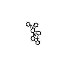 CC1(C)c2ccccc2-c2cccc(-n3c4ccccc4c4c5c6ccccc6n(-c6ccccc6)c5ccc43)c21